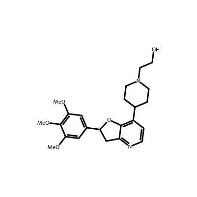 COc1cc(C2Cc3nccc(C4CCN(CCO)CC4)c3O2)cc(OC)c1OC